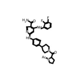 CC(=O)N1CCCC1C(=O)N1CCC(c2ccc(Nc3cc(NCc4cccc(F)c4F)c(C(N)=O)cn3)cc2)CC1